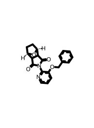 O=C1C2C(C(=O)N1c1ncccc1OCc1ccccc1)[C@H]1CC[C@@H]2O1